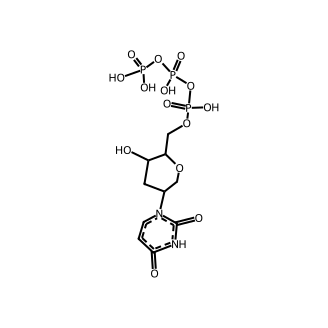 O=c1ccn(C2COC(COP(=O)(O)OP(=O)(O)OP(=O)(O)O)C(O)C2)c(=O)[nH]1